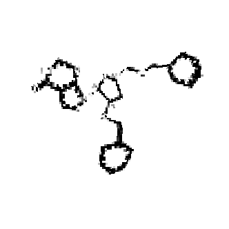 O=c1[nH]cnc2c1cnn2[C@@H]1O[C@H](COCc2ccccc2)C[C@H]1OCc1ccccc1